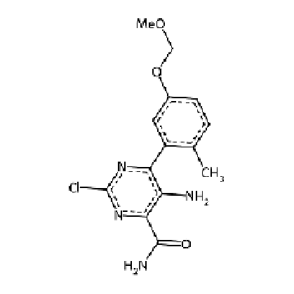 COCOc1ccc(C)c(-c2nc(Cl)nc(C(N)=O)c2N)c1